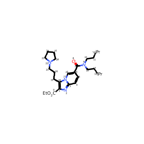 CCOC(=O)c1nc2ccc(C(=O)N(CCC(C)C)CCC(C)C)cn2c1CCCN1CCCC1